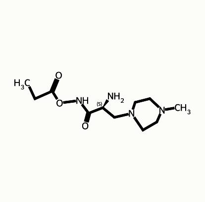 CCC(=O)ONC(=O)[C@@H](N)CN1CCN(C)CC1